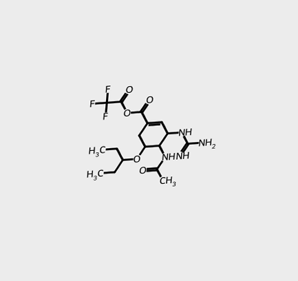 CCC(CC)OC1CC(C(=O)OC(=O)C(F)(F)F)=CC(NC(=N)N)C1NC(C)=O